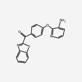 Nc1cccnc1Oc1ccc(C(=O)c2nc3ccccc3s2)cc1